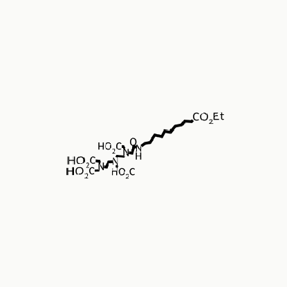 CCOC(=O)CCCCCCCCCCNC(=O)CN(CCN(CCN(CC(=O)O)CC(=O)O)CC(=O)O)CC(=O)O